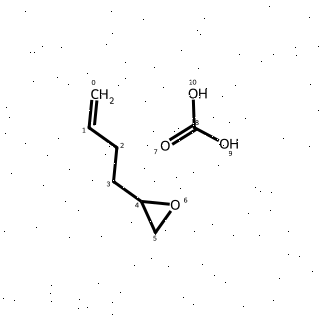 C=CCCC1CO1.O=C(O)O